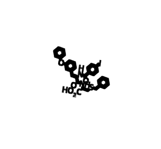 O=C(N[C@@H](CSCc1ccccc1)C(=O)O)C(=Cc1cccc(Oc2ccccc2)c1)NC(=O)c1ccc(I)cc1